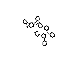 c1ccc(-c2cc(-c3ccccc3)cc(N(c3ccccc3)c3cccc(-c4ccc5c(c4)c4ccccc4n5-c4ccc5sc6ccccc6c5c4)c3)c2)cc1